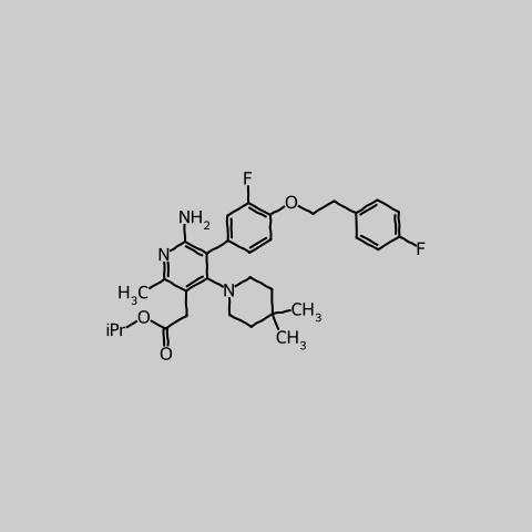 Cc1nc(N)c(-c2ccc(OCCc3ccc(F)cc3)c(F)c2)c(N2CCC(C)(C)CC2)c1CC(=O)OC(C)C